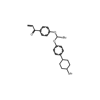 C=CC(=O)c1ccc(OC(CCCC)Oc2ccc(C3CCC(CCC)CC3)cc2)cc1